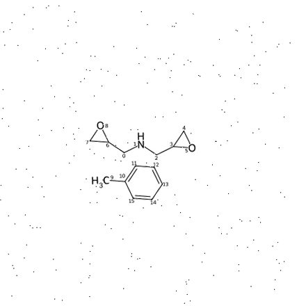 C(NCC1CO1)C1CO1.Cc1ccccc1